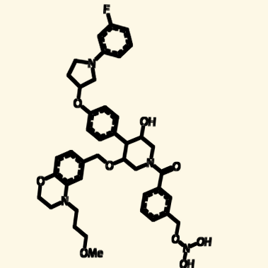 COCCCN1CCOc2ccc(COC3CN(C(=O)c4cccc(CON(O)O)c4)CC(O)C3c3ccc(OC4CCN(c5cccc(F)c5)C4)cc3)cc21